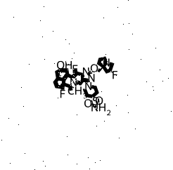 CCc1c(F)ccc2cc(O)cc(-c3ncc4c(N5CCC(S(N)(=O)=O)CC5)nc(OC[C@@]56CCCN5C[C@H](F)C6)nc4c3F)c12